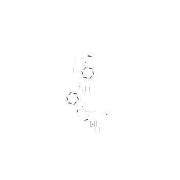 CNC(=O)C(CCC=O)N1Cc2c(NCc3cccc(NC(C)=O)c3F)cccc2C1=O